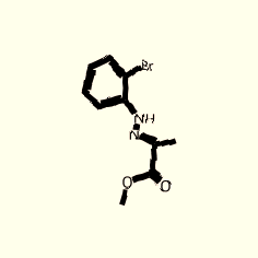 COC(=O)/C(C)=N/Nc1ccccc1Br